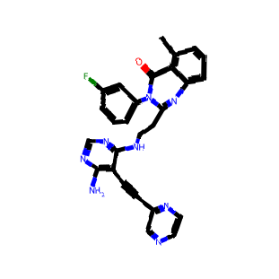 Cc1cccc2nc(CCNc3ncnc(N)c3C#Cc3cnccn3)n(-c3cccc(F)c3)c(=O)c12